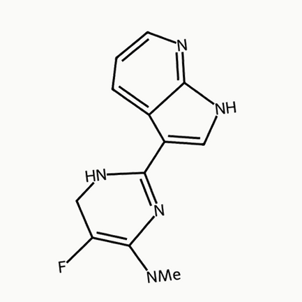 CNC1=C(F)CNC(c2c[nH]c3ncccc23)=N1